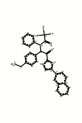 NCc1ccc(C(C(=O)c2ncc(-c3ccc4ccccc4c3)s2)N(C(=O)C(F)(F)F)c2ccccc2)cc1